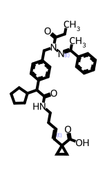 CCC(=O)N(Cc1ccc(C(C(=O)NCC/C=C/C2(C(=O)O)CC2)C2CCCC2)cc1)/N=C(\C)c1ccccc1